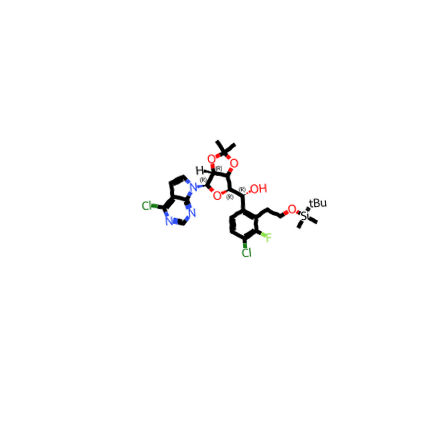 CC1(C)OC2[C@@H](O1)[C@H](n1ccc3c(Cl)ncnc31)O[C@@H]2[C@H](O)c1ccc(Cl)c(F)c1CCO[Si](C)(C)C(C)(C)C